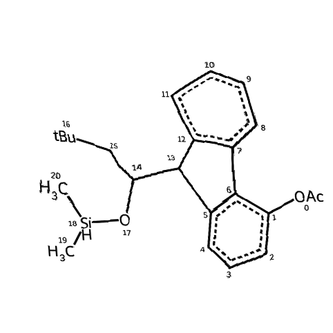 CC(=O)Oc1cccc2c1-c1ccccc1C2C(CC(C)(C)C)O[SiH](C)C